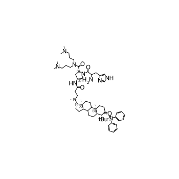 C[C@H](CCC(=O)N[C@H]1C[C@@H](C(=O)N(CCCN(C)C)CCCN(C)C)N(C(=O)C(N)Cc2c[nH]cn2)C1)[C@H]1CCC2C3CCC4C[C@H](O[Si](c5ccccc5)(c5ccccc5)C(C)(C)C)CC[C@]4(C)C3CC[C@@]21C